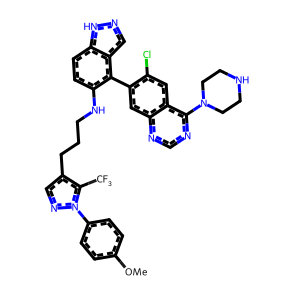 COc1ccc(-n2ncc(CCCNc3ccc4[nH]ncc4c3-c3cc4ncnc(N5CCNCC5)c4cc3Cl)c2C(F)(F)F)cc1